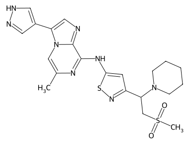 Cc1cn2c(-c3cn[nH]c3)cnc2c(Nc2cc(C(CS(C)(=O)=O)N3CCCCC3)ns2)n1